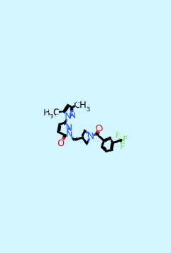 Cc1cc(C)n(-c2ccc(=O)n(CC3CN(C(=O)c4cccc(C(F)(F)F)c4)C3)n2)n1